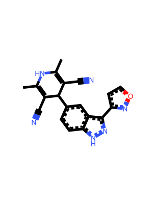 CC1=C(C#N)C(c2ccc3[nH]nc(-c4ccon4)c3c2)C(C#N)=C(C)N1